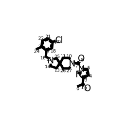 CC(=O)c1ccn(C(=O)N2CCC3(CCN(Cc4cc(Cl)ccc4C)C3)CC2)n1